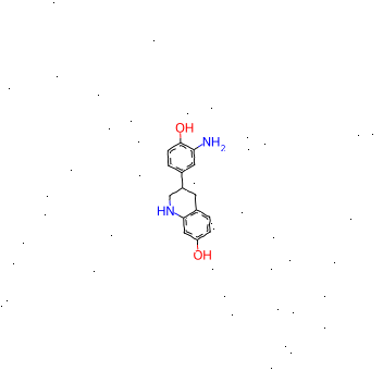 Nc1cc(C2CNc3cc(O)ccc3C2)ccc1O